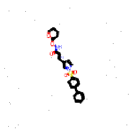 O=C(/C=C/c1ccn(S(=O)(=O)c2ccc(-c3ccccc3)cc2)c1)NOC1CCCCO1